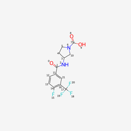 O=C(NC1CCN(C(=O)O)C1)c1ccc(F)c(C(F)(F)F)c1